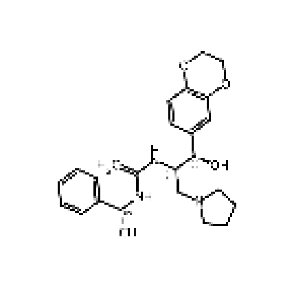 C=C(N[C@H](C)c1ccccc1)N[C@H](CN1CCCC1)[C@H](O)c1ccc2c(c1)OCCO2